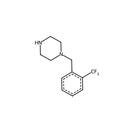 FC(F)(F)c1c[c]ccc1CN1CCNCC1